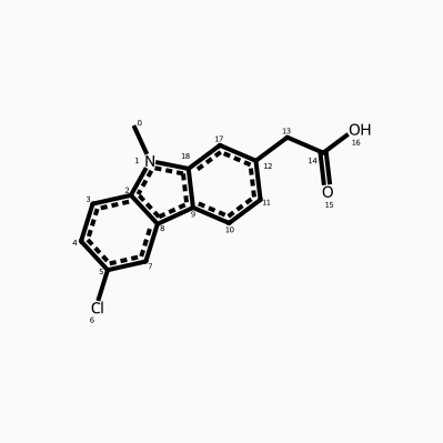 Cn1c2ccc(Cl)cc2c2ccc(CC(=O)O)cc21